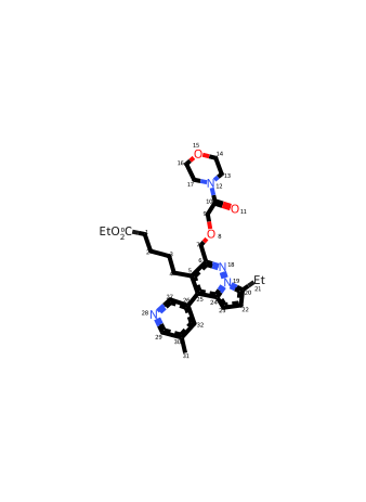 CCOC(=O)CCCCc1c(COCC(=O)N2CCOCC2)nn2c(CC)ccc2c1-c1cncc(C)c1